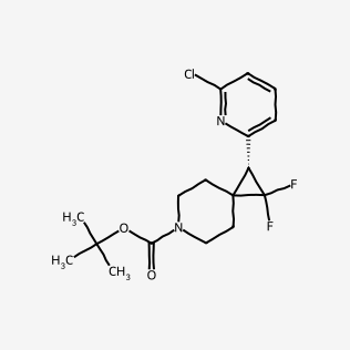 CC(C)(C)OC(=O)N1CCC2(CC1)[C@H](c1cccc(Cl)n1)C2(F)F